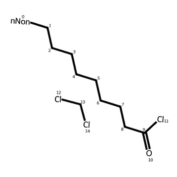 CCCCCCCCCCCCCCCCCC(=O)Cl.ClCCl